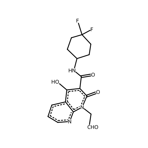 O=CCn1c(=O)c(C(=O)NC2CCC(F)(F)CC2)c(O)c2cccnc21